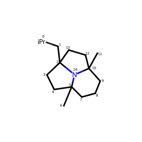 CC(C)CC12CCC3(C)CCCC(C)(CC1)N32